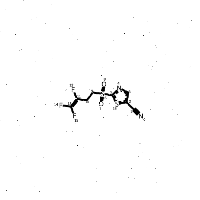 N#Cc1cnc(S(=O)(=O)CCC(F)=C(F)F)s1